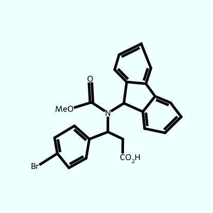 COC(=O)N(C(CC(=O)O)c1ccc(Br)cc1)C1c2ccccc2-c2ccccc21